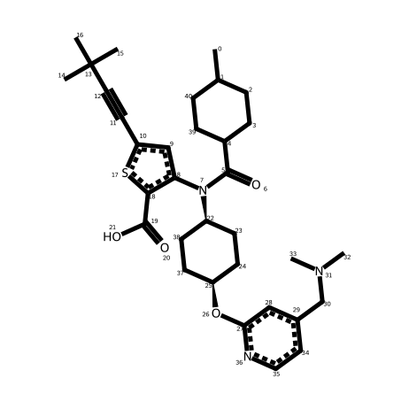 CC1CCC(C(=O)N(c2cc(C#CC(C)(C)C)sc2C(=O)O)[C@H]2CC[C@@H](Oc3cc(CN(C)C)ccn3)CC2)CC1